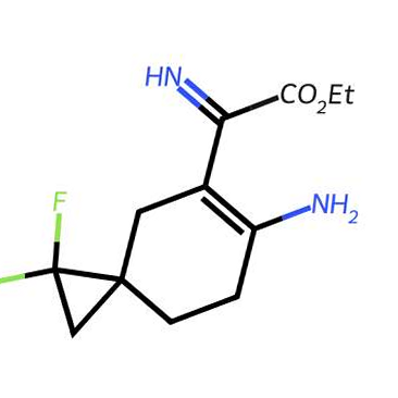 CCOC(=O)C(=N)C1=C(N)CCC2(C1)CC2(F)F